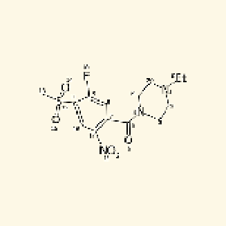 CCN1CCN(C(=O)c2cc(F)c(S(C)(=O)=O)cc2[N+](=O)[O-])CC1